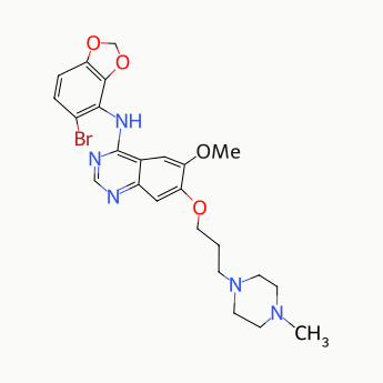 COc1cc2c(Nc3c(Br)ccc4c3OCO4)ncnc2cc1OCCCN1CCN(C)CC1